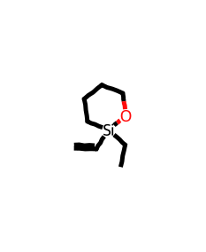 C=C[Si]1(CC)CCCCO1